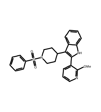 COc1ncccc1-c1[nH]c2ccccc2c1C1CCN(S(=O)(=O)c2ccccc2)CC1